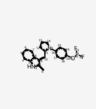 C=c1[nH]c2ccccc2/c1=C\c1cccn1-c1ccc(OP(F)F)cc1